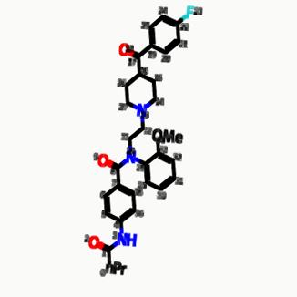 CCCC(=O)Nc1ccc(C(=O)N(CCN2CCC(C(=O)c3ccc(F)cc3)CC2)c2ccccc2OC)cc1